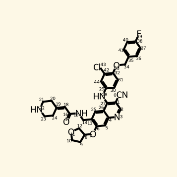 N#Cc1cnc2cc(OC3CCOC3)c(CNC(=O)C=C3CCNCC3)cc2c1Nc1ccc(OCc2ccc(F)cc2)c(Cl)c1